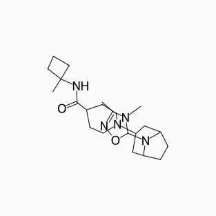 CC1=NOC(N2C3CCC2CC(N2CCC(C(=O)NC4(C)CCC4)CC2)C3)N1C